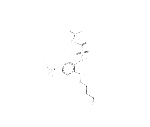 CCCCCNc1ccncc1NS(=O)(=O)C(=O)NC(C)C.O=[N+]([O-])O